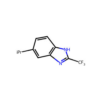 CC(C)c1ccc2[nH]c(C(F)(F)F)nc2c1